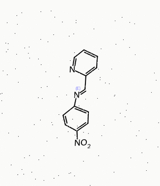 O=[N+]([O-])c1ccc(/N=C/c2ccccn2)cc1